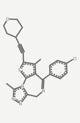 Cc1c(C#CC2CCOCC2)sc2c1C(c1ccc(Cl)cc1)=NCc1nnc(C)n1-2